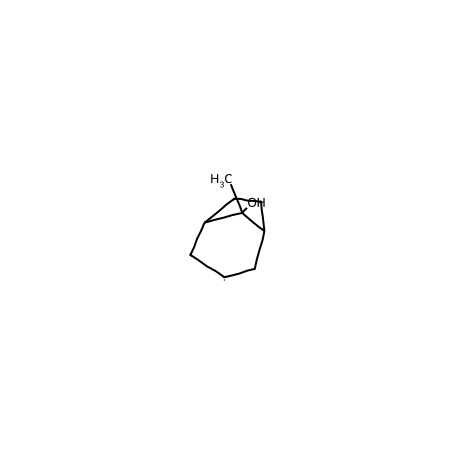 CC1(O)C2C[CH]CC1CC2